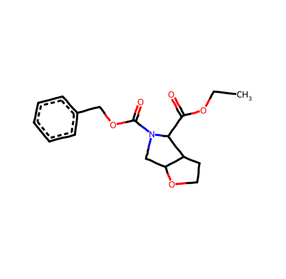 CCOC(=O)C1C2CCOC2CN1C(=O)OCc1ccccc1